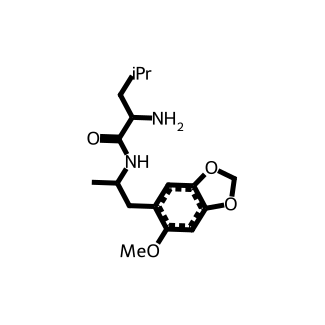 COc1cc2c(cc1CC(C)NC(=O)C(N)CC(C)C)OCO2